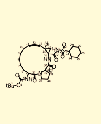 CC(C)(C)OC(=O)N[C@H]1CCCCCC=C=C[C@@H]2C[C@@]2(C(=O)NS(=O)(=O)C2CCCCC2)NC(=O)[C@@H]2CCCN2C1=O